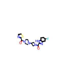 O=C(c1nc2cc(F)ccc2[nH]1)N1CC(N2CCN(C(=O)c3nccs3)CC2)C1